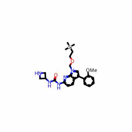 COc1ccccc1-c1cn(COCC[Si](C)(C)C)c2nc(NC(=O)NC3CNC3)ccc12